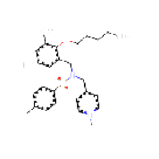 CCCCCCCCCCCCCCOc1c(CN(Cc2cc[n+](CCC)cc2)S(=O)(=O)c2ccc(C)cc2)cccc1OC.[I-]